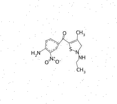 CCNN1CC(C)=C(C(=O)c2ccc(N)c([N+](=O)[O-])c2)S1